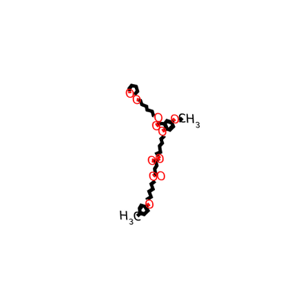 CCOc1ccc(OCCCCCCOC(=O)CCC(=O)OCCCCCCOc2ccc(C)cc2)c(C(=O)OCCCCCCOC2CCCCO2)c1